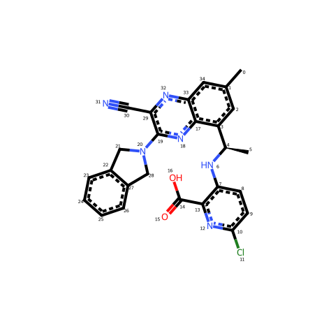 Cc1cc([C@@H](C)Nc2ccc(Cl)nc2C(=O)O)c2nc(N3Cc4ccccc4C3)c(C#N)nc2c1